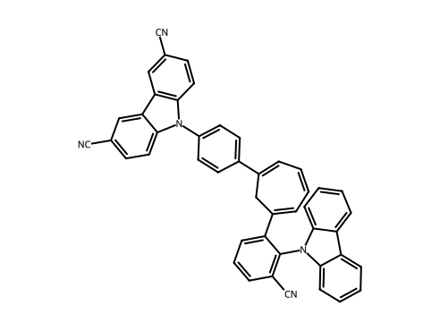 N#Cc1ccc2c(c1)c1cc(C#N)ccc1n2-c1ccc(C2=CC=CC=C(c3cccc(C#N)c3-n3c4ccccc4c4ccccc43)C2)cc1